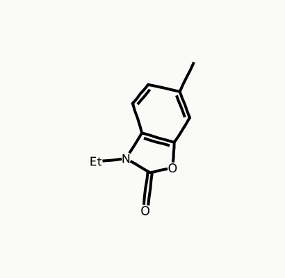 CCn1c(=O)oc2cc(C)ccc21